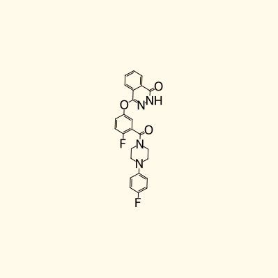 O=C(c1cc(Oc2n[nH]c(=O)c3ccccc23)ccc1F)N1CCN(c2ccc(F)cc2)CC1